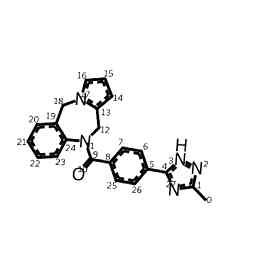 Cc1n[nH]c(-c2ccc(C(=O)N3Cc4cccn4Cc4ccccc43)cc2)n1